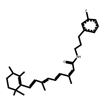 CC1=C(/C=C/C(C)=C/C=C/C(C)=C\C(=O)NCCCc2cccc(F)c2)C(C)(C)CCC1C